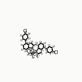 CC1=Cc2c(-c3ccc(Cl)cc3)cccc2[CH]1[Zr]([Cl])([Cl])([CH]1C(C)=Cc2c(-c3ccc(Cl)cc3)cccc21)=[Si](C)C